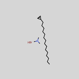 Br.CCCCCCCCCCCCCCCC1C=C1.CN(C)C